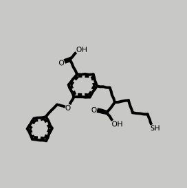 O=C(O)c1cc(CC(CCCS)C(=O)O)cc(OCc2ccccc2)c1